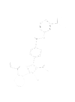 C=CC(=O)N1CCCCC1c1nc(-c2ccc(C(=O)Nc3cc(C(C)C)ccn3)cc2)c(C(N)=O)n1N